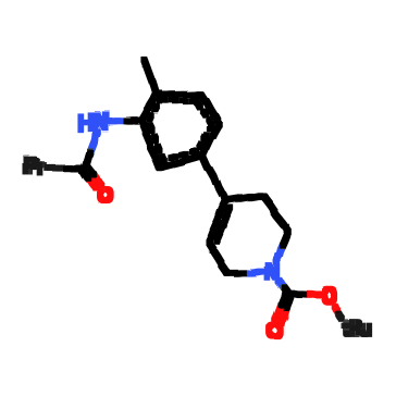 Cc1ccc(C2=CCN(C(=O)OC(C)(C)C)CC2)cc1NC(=O)C(C)C